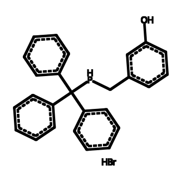 Br.Oc1cccc(CPC(c2ccccc2)(c2ccccc2)c2ccccc2)c1